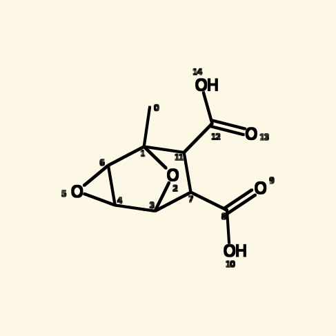 CC12OC(C3OC31)C(C(=O)O)C2C(=O)O